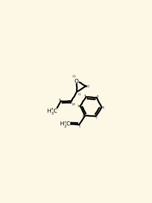 C=Cc1ccccc1.CC=CC1CO1